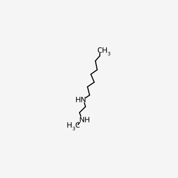 CCCCCCCCNCCNC